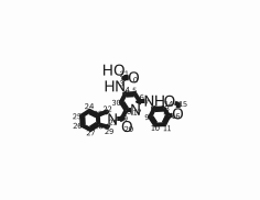 O=C(O)Nc1cc(Nc2cccc3c2OCO3)nc(C(=O)N2Cc3ccccc3C2)c1